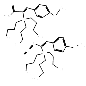 CCC[CH2][Sn]([CH2]CCC)([CH2]CCC)/[C](=C\c1ccc(OC)cc1)C(N)=O.CCC[CH2][Sn]([CH2]CCC)([CH2]CCC)/[C](=C\c1ccc(OC)cc1)N=C=O